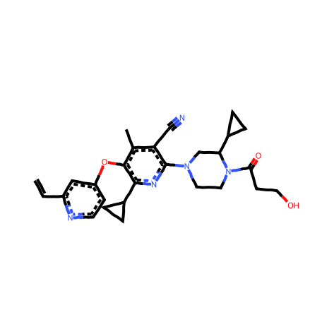 C=Cc1cc(Oc2c(C3CC3)nc(N3CCN(C(=O)CCO)C(C4CC4)C3)c(C#N)c2C)ccn1